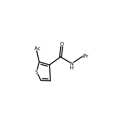 CC(=O)c1sccc1C(=O)NC(C)C